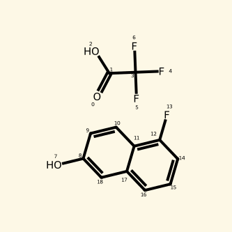 O=C(O)C(F)(F)F.Oc1ccc2c(F)cccc2c1